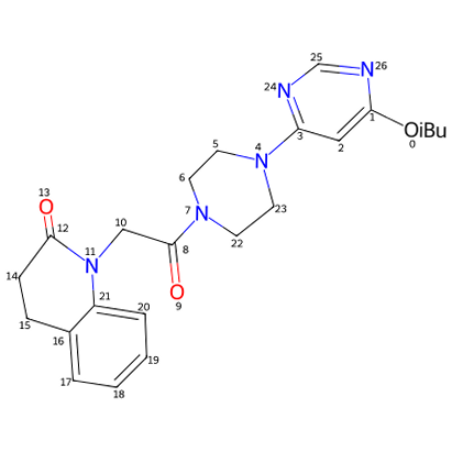 CC(C)COc1cc(N2CCN(C(=O)CN3C(=O)CCc4ccccc43)CC2)ncn1